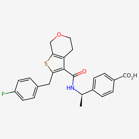 C[C@@H](NC(=O)c1c(Cc2ccc(F)cc2)sc2c1CCOC2)c1ccc(C(=O)O)cc1